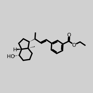 CCOC(=O)c1cccc(C=CC(C)[C@H]2CC[C@H]3[C@@H](O)CCC[C@]23C)c1